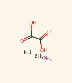 B.O=C(O)C(=O)O.P.[LiH]